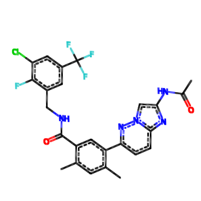 CC(=O)Nc1cn2nc(-c3cc(C(=O)NCc4cc(C(F)(F)F)cc(Cl)c4F)c(C)cc3C)ccc2n1